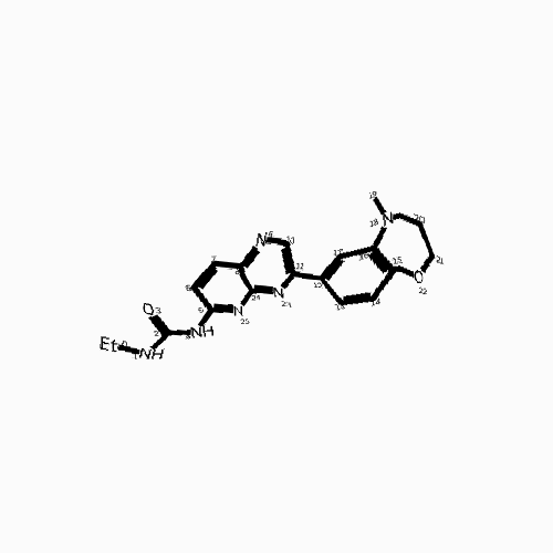 CCNC(=O)Nc1ccc2ncc(-c3ccc4c(c3)N(C)CCO4)nc2n1